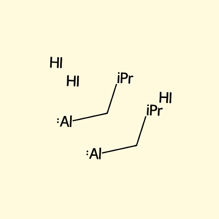 CC(C)[CH2][Al].CC(C)[CH2][Al].I.I.I